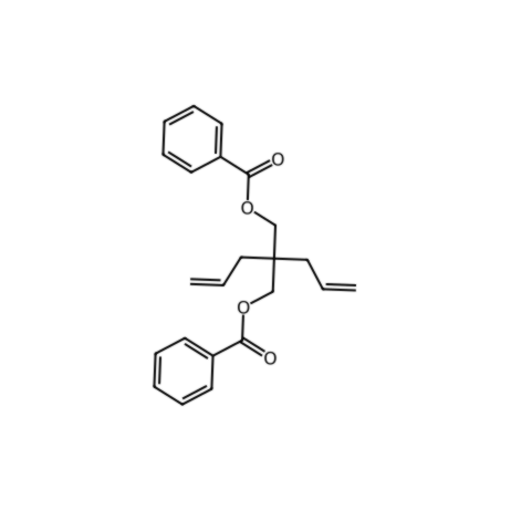 C=CCC(CC=C)(COC(=O)c1ccccc1)COC(=O)c1ccccc1